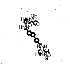 COC(=O)N[C@H](C(=O)N1[C@@H]2C[C@H]2C[C@H]1c1nc(-c2ccc(-c3ccc4cc(-c5c[nH]c([C@@H]6C[C@H]7C[C@H]7N6C(=O)[C@H](C6CCOCC6)N(C)C(=O)O)n5)ccc4c3)cc2)c[nH]1)C(C)C